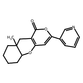 CC12CCCCC1Oc1cc(-c3cccnc3)oc(=O)c1C2